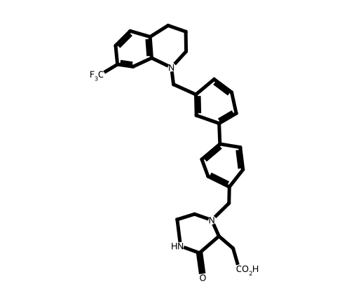 O=C(O)CC1C(=O)NCCN1Cc1ccc(-c2cccc(CN3CCCc4ccc(C(F)(F)F)cc43)c2)cc1